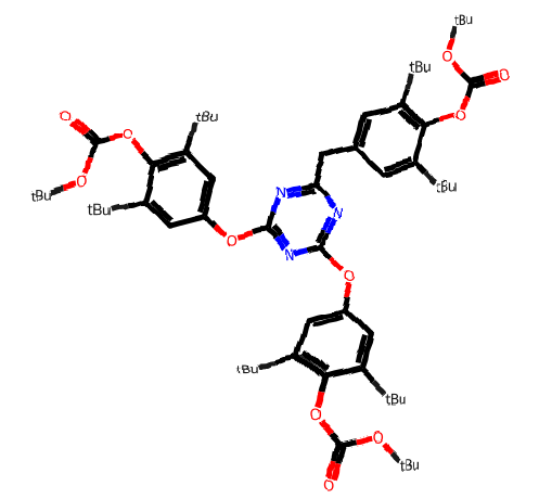 CC(C)(C)OC(=O)Oc1c(C(C)(C)C)cc(Cc2nc(Oc3cc(C(C)(C)C)c(OC(=O)OC(C)(C)C)c(C(C)(C)C)c3)nc(Oc3cc(C(C)(C)C)c(OC(=O)OC(C)(C)C)c(C(C)(C)C)c3)n2)cc1C(C)(C)C